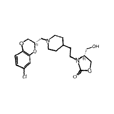 O=C1OC[C@@H](CO)N1CCC1CCN(C[C@H]2COc3ccc(Cl)cc3O2)CC1